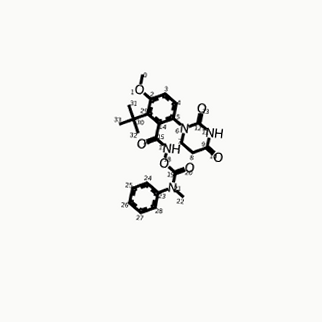 COc1ccc(N2CCC(=O)NC2=O)c(C(=O)NOC(=O)N(C)c2ccccc2)c1C(C)(C)C